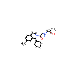 Cc1ccc2c(c1)C(C1CCCCC1)N(C(=O)CNC[C@@H](C)O)CC2